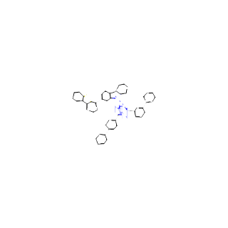 c1ccc(-c2ccc(-c3nc(-c4cccc(-c5ccccc5)c4)nc(-n4c5ccccc5c5ccc(-c6cccc7c6sc6ccccc67)cc54)n3)cc2)cc1